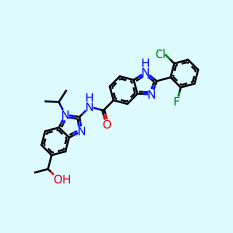 CC(O)c1ccc2c(c1)nc(NC(=O)c1ccc3[nH]c(-c4c(F)cccc4Cl)nc3c1)n2C(C)C